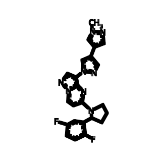 Cn1cc(-c2cnn(-c3cnn4ccc(N5CCCC5c5cc(F)ccc5F)nc34)c2)cn1